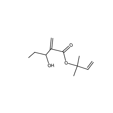 C=CC(C)(C)OC(=O)C(=C)C(O)CC